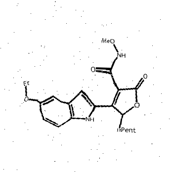 CCCCCC1OC(=O)C(C(=O)NOC)=C1c1cc2cc(OCC)ccc2[nH]1